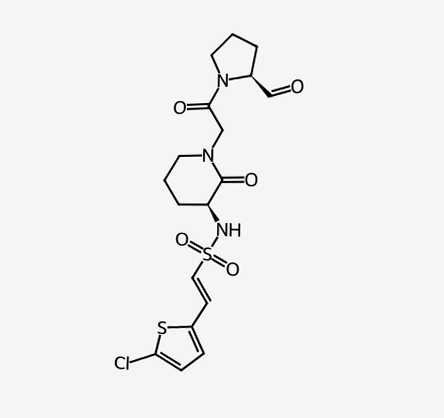 O=C[C@@H]1CCCN1C(=O)CN1CCC[C@H](NS(=O)(=O)/C=C/c2ccc(Cl)s2)C1=O